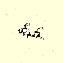 COc1nc(C)nc(NC(=O)NS(=O)(=O)c2ccsc2C(=O)CO)n1